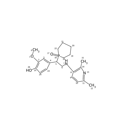 COc1cc(C(CNc2ccc(C)nc2C)P2(=O)CCCCC2)ccc1O